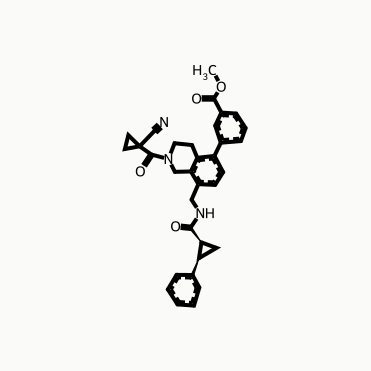 COC(=O)c1cccc(-c2ccc(CNC(=O)[C@H]3C[C@H]3c3ccccc3)c3c2CCN(C(=O)C2(C#N)CC2)C3)c1